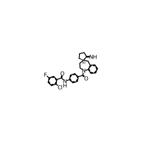 N=C1CCC[C@@]12CCN(C(=O)c1ccc(NC(=O)c3cc(F)ccc3Cl)cc1)c1ccccc1C2